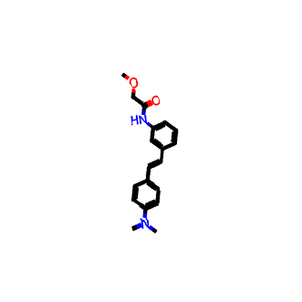 COCC(=O)Nc1cccc(/C=C/c2ccc(N(C)C)cc2)c1